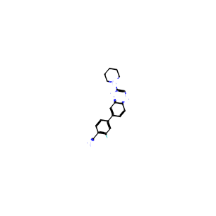 N#Cc1ccc(-c2ccc3ncc(N4CCCCC4)nc3c2)cc1F